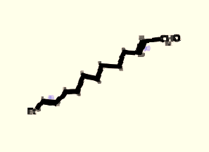 CC/C=C/CCCCCCC/C=C/C=O